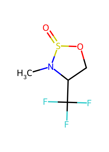 CN1C(C(F)(F)F)COS1=O